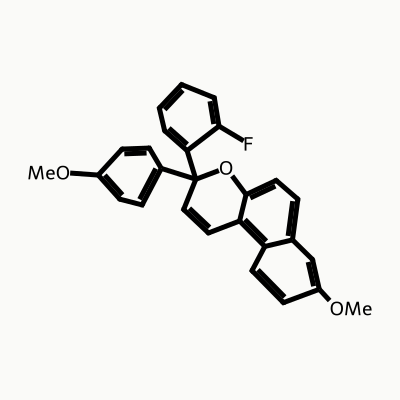 COc1ccc(C2(c3ccccc3F)C=Cc3c(ccc4cc(OC)ccc34)O2)cc1